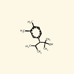 Cc1ccc(C(C(C)C)C(C)(C)O)cc1C